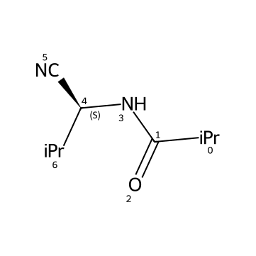 CC(C)C(=O)N[C@H](C#N)C(C)C